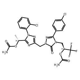 C[C@@H](OC(N)=O)c1nc(Cn2nc(-c3ccc(Cl)cc3)n(C[C@H](OC(N)=O)C(F)(F)F)c2=O)nn1-c1ccccc1Cl